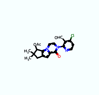 CC(=O)OC1c2c(cc3c(=O)n(-c4nccc(Cl)c4C=O)ccn23)CC1(C)C